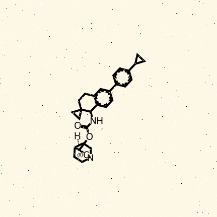 O=C(NC1c2ccc(-c3ccc(C4CC4)cc3)cc2CCC12CC2)O[C@H]1CN2CCC1CC2